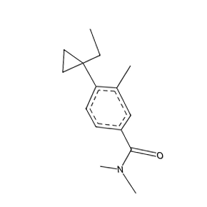 CCC1(c2ccc(C(=O)N(C)C)cc2C)CC1